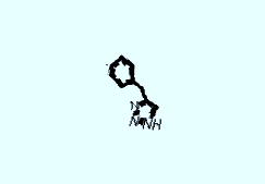 [c]1ccc(Cc2c[nH]nn2)cc1